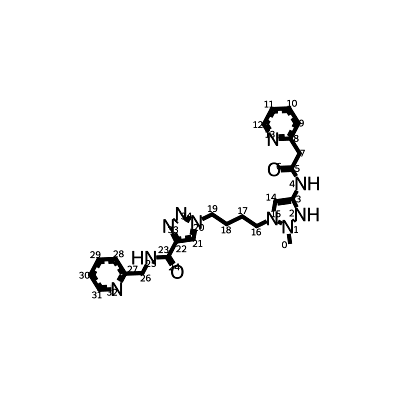 CN1NC(NC(=O)Cc2ccccn2)=CN1CCCCn1cc(C(=O)NCc2ccccn2)nn1